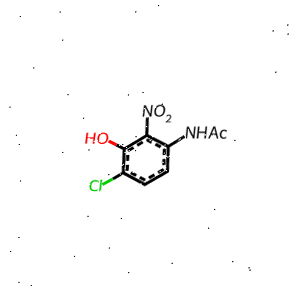 CC(=O)Nc1ccc(Cl)c(O)c1[N+](=O)[O-]